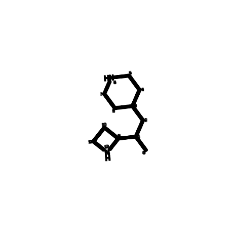 CC([CH]C1CCNCC1)C1CCN1